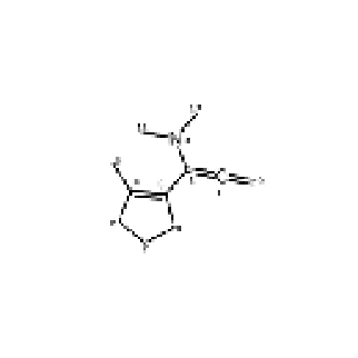 C=C=C(C1=C(C)CCC1)N(C)C